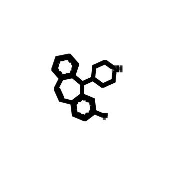 Fc1ccc2c(c1)C(C1CCNCC1)c1ccccc1C=C2